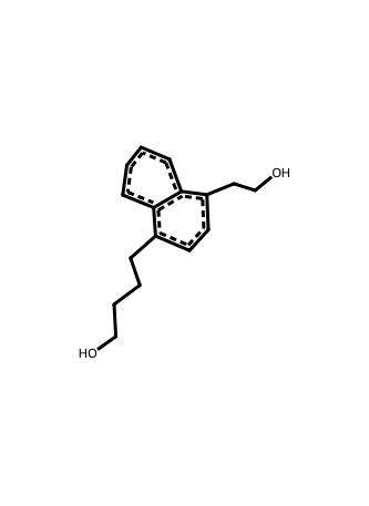 OCCCCc1ccc(CCO)c2ccccc12